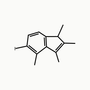 CC1=C(C)C(C)c2ccc(I)c(C)c21